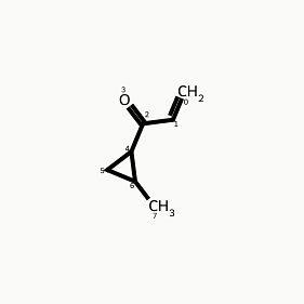 C=CC(=O)C1CC1C